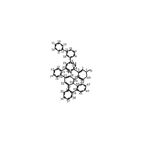 CC1C=C(c2nc(-c3cccc(-c4ccccc4)c3)cc(-c3ccccc3C3=CC(C)C4C(=C3)c3ccccc3-c3ccccc34)n2)C=CC1